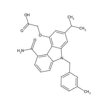 Cc1cccc(Cn2c3cc(C(C)C)cc(OCC(=O)O)c3c3c(C(N)=O)cccc32)c1